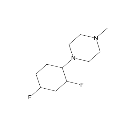 CN1CCN(C2CCC(F)CC2F)CC1